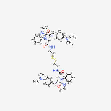 CN(C)c1ccc(/C=C/C23OCCN2c2ccccc2N3CC(=O)NCCSSCCNC(=O)CN2c3ccccc3N3CCOC32/C=C/c2ccc(N(C)C)cc2)cc1